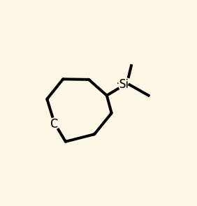 C[Si](C)C1CCCCCCC1